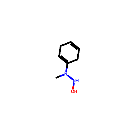 CN(NO)C1=CCC=CC1